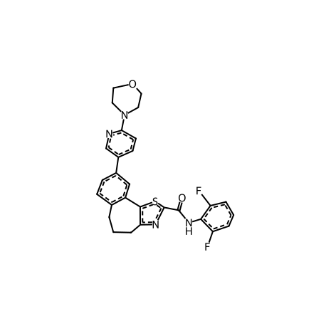 O=C(Nc1c(F)cccc1F)c1nc2c(s1)-c1cc(-c3ccc(N4CCOCC4)nc3)ccc1CCC2